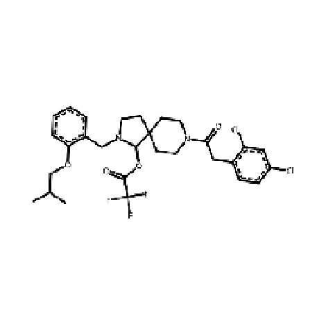 CC(C)COc1ccccc1CN1CCC2(CCN(C(=O)Cc3ccc(Cl)cc3Cl)CC2)C1OC(=O)C(F)(F)F